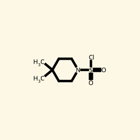 CC1(C)CCN(S(=O)(=O)Cl)CC1